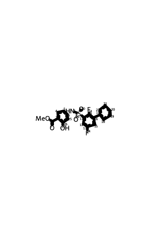 COC(=O)c1ccc(NS(=O)(=O)c2cc(F)cc(-c3ccccc3)c2F)cc1O